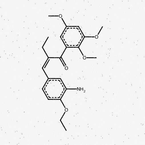 CCOc1ccc(C=C(CC)C(=O)c2cc(OC)cc(OC)c2OC)cc1N